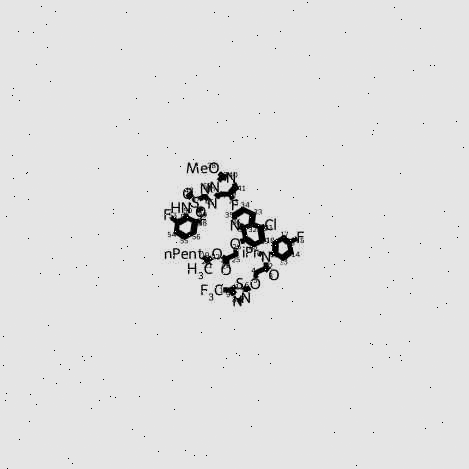 CC(C)N(C(=O)COc1nnc(C(F)(F)F)s1)c1ccc(F)cc1.CCCCCC(C)OC(=O)COc1ccc(Cl)c2cccnc12.COc1ncc(F)c2nc(S(=O)(=O)Nc3c(F)cccc3F)nn12